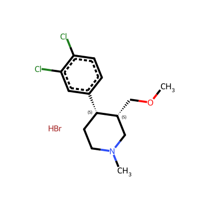 Br.COC[C@@H]1CN(C)CC[C@@H]1c1ccc(Cl)c(Cl)c1